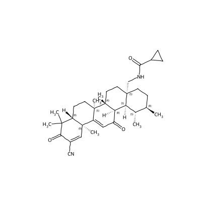 C[C@@H]1[C@H]2[C@H]3C(=O)C=C4[C@@]5(C)C=C(C#N)C(=O)C(C)(C)[C@@H]5CC[C@@]4(C)[C@]3(C)CC[C@@]2(CNC(=O)C2CC2)CC[C@H]1C